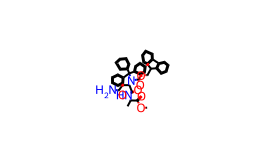 COC(=O)C(C)NC(=O)C(CC(N)=O)N(C(=O)OCC1c2ccccc2-c2ccccc21)C(c1ccccc1)(c1ccccc1)c1ccccc1